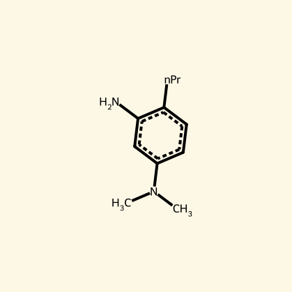 CCCc1ccc(N(C)C)cc1N